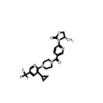 C[C@@H]1COC(=O)N1c1ccc(C(=O)N2CCN(c3ncc(C(F)(F)F)cc3C3CC3)CC2)cn1